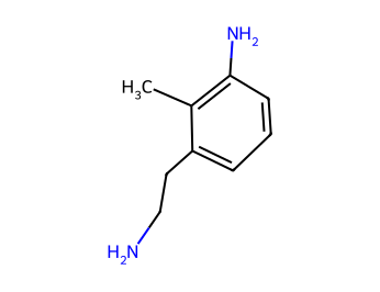 Cc1c(N)cccc1CCN